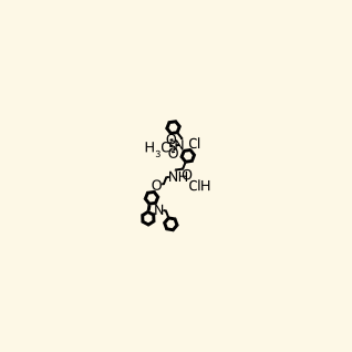 CS(=O)(=O)N(Cc1ccccc1)c1cc(C(=O)CNCCOc2ccc3c4ccccc4n(Cc4ccccc4)c3c2)ccc1Cl.Cl